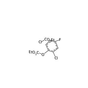 CCOC(=O)Cl.CCOC(=O)Oc1ccc(F)cc1Cl